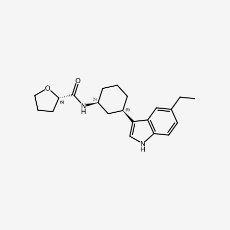 CCc1ccc2[nH]cc([C@@H]3CCC[C@H](NC(=O)[C@@H]4CCCO4)C3)c2c1